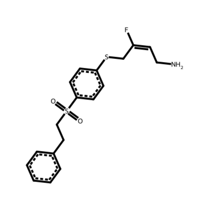 NC/C=C(/F)CSc1ccc(S(=O)(=O)CCc2ccccc2)cc1